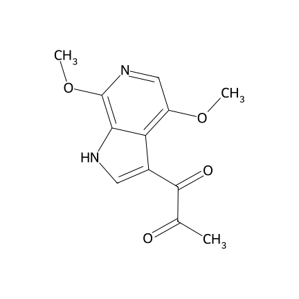 COc1ncc(OC)c2c(C(=O)C(C)=O)c[nH]c12